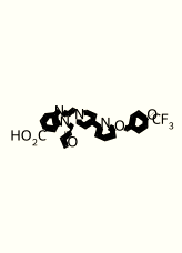 O=C(O)c1ccc2nc(CN3CC=C(c4cccc(OCc5ccc(OC(F)(F)F)cc5)n4)CC3)n(C[C@@H]3CCO3)c2c1